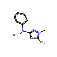 Cn1nc(N(C(=O)O)c2ccccc2)cc1C(F)(F)F